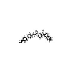 O=C(CCN1CCN(c2ccc(Cl)cc2)CC1)N1CCC[C@H](Nc2ccc(SC(F)(F)F)cc2)C1